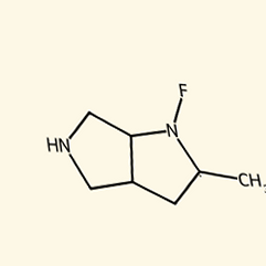 C[C]1CC2CNCC2N1F